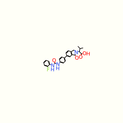 CC(C)C(C(=O)O)N1Cc2ccc(-c3ccc(NC(=O)Nc4ccccc4F)cc3)cc2C1=O